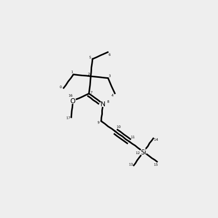 CCC(CC)(CC)C(=NCC#C[Si](C)(C)C)OC